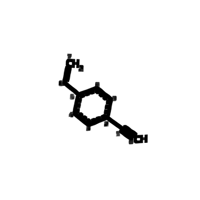 C#Cc1ccc([C]=C)cc1